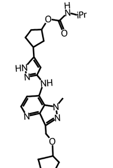 CC(C)NC(=O)OC1CCC(c2cc(Nc3ccnc4c(COC5CCOC5)nn(C)c34)n[nH]2)C1